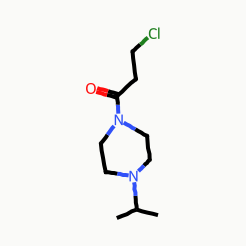 CC(C)N1CCN(C(=O)CCCl)CC1